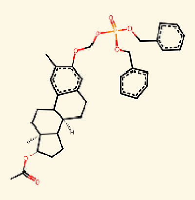 CC(=O)O[C@H]1CCC2[C@@H]3CCc4cc(OCOP(=O)(OCc5ccccc5)OCc5ccccc5)c(C)cc4C3CC[C@@]21C